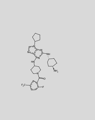 N[C@H]1CC[C@H](Nc2nc(NC3CCN(C(=O)c4cc(C(F)(F)F)ccc4F)CC3)c3ncn(C4CCCC4)c3n2)CC1